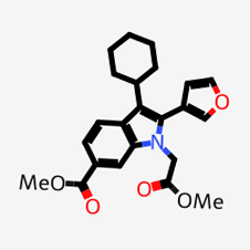 COC(=O)Cn1c(-c2ccoc2)c(C2CCCCC2)c2ccc(C(=O)OC)cc21